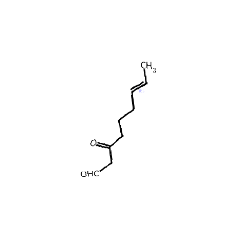 C/C=C/CCCC(=O)CC=O